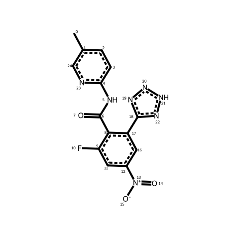 Cc1ccc(NC(=O)c2c(F)cc([N+](=O)[O-])cc2-c2nn[nH]n2)nc1